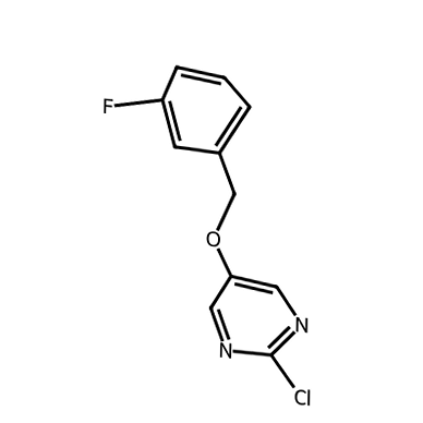 Fc1cccc(COc2cnc(Cl)nc2)c1